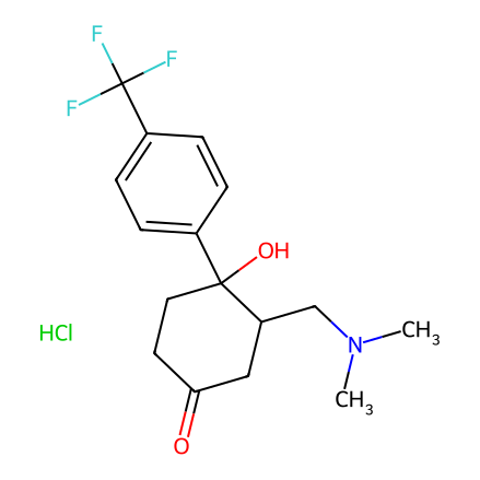 CN(C)CC1CC(=O)CCC1(O)c1ccc(C(F)(F)F)cc1.Cl